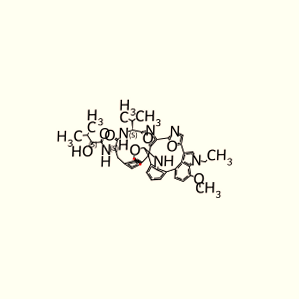 CCn1cc2c3c(ccc(OC)c31)-c1cccc3c1NC1Oc4ccc5cc4C31c1oc(nc1-c1ncc-2o1)[C@H](C(C)C)NC(=O)[C@@H](NC(=O)[C@@H](O)C(C)C)C5